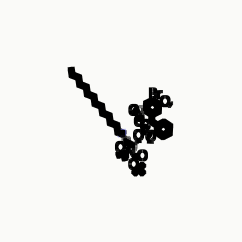 CCCCCCCCCCCCC/C=C/[C@H]1OC(C)(C)N(C(=O)OC(C)(C)C)[C@H]1COP(OC)OC(c1ccccc1)c1cc(OC)c(Br)cc1[N+](=O)[O-]